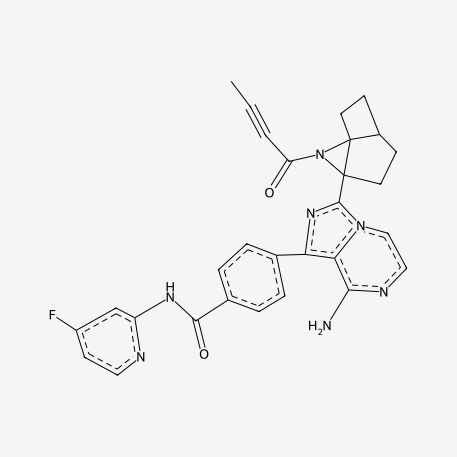 CC#CC(=O)N1C2(c3nc(-c4ccc(C(=O)Nc5cc(F)ccn5)cc4)c4c(N)nccn34)CCC3CCC312